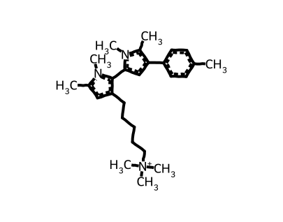 Cc1ccc(-c2cc(-c3c(CCCCC[N+](C)(C)C)cc(C)n3C)n(C)c2C)cc1